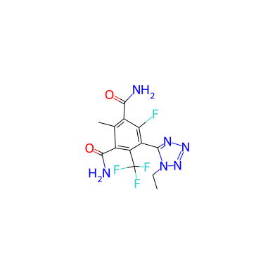 CCn1nnnc1-c1c(F)c(C(N)=O)c(C)c(C(N)=O)c1C(F)(F)F